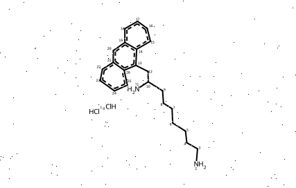 Cl.Cl.NCCCCCCCC(N)Cc1c2ccccc2cc2ccccc12